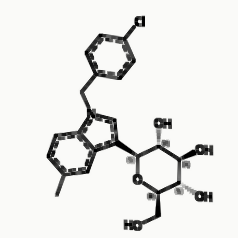 Cc1ccc2c(c1)c([C@@H]1O[C@H](CO)[C@@H](O)[C@H](O)[C@H]1O)cn2Cc1ccc(Cl)cc1